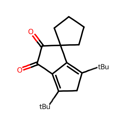 CC(C)(C)C1=C2C(=O)C(=O)C3(CCCC3)C2=C(C(C)(C)C)C1